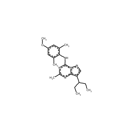 CCC(CC)c1cnn2c(Nc3c(C)cc(OC)cc3C)nc(C)nc12